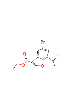 CCOC(=O)c1coc2c(C(C)C)cc(Br)cc12